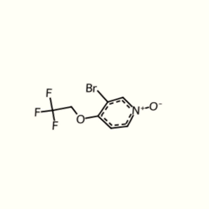 [O-][n+]1ccc(OCC(F)(F)F)c(Br)c1